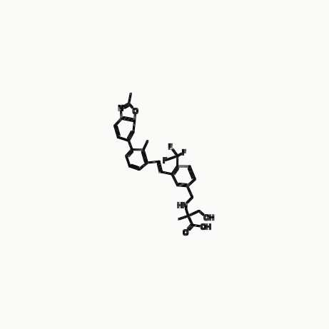 Cc1nc2ccc(-c3cccc(/C=C/c4cc(CNC(C)(CO)C(=O)O)ccc4C(F)(F)F)c3C)cc2o1